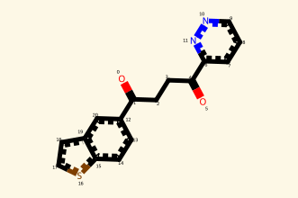 O=C(CCC(=O)c1cccnn1)c1ccc2sccc2c1